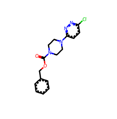 O=C(OCc1ccccc1)N1CCN(c2ccc(Cl)nn2)CC1